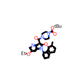 CCOc1cnc2c(C(=O)N3CCN(C(=O)OC(C)(C)C)CC3)c(Oc3c(C)cccc3C)n(-c3ccccc3)c2c1